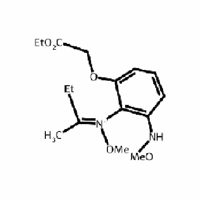 CCOC(=O)COc1cccc(NOC)c1/[N+](OC)=C(/C)CC